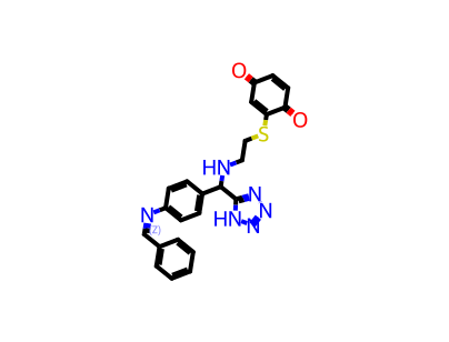 O=C1C=CC(=O)C(SCCNC(c2ccc(/N=C\c3ccccc3)cc2)c2nnn[nH]2)=C1